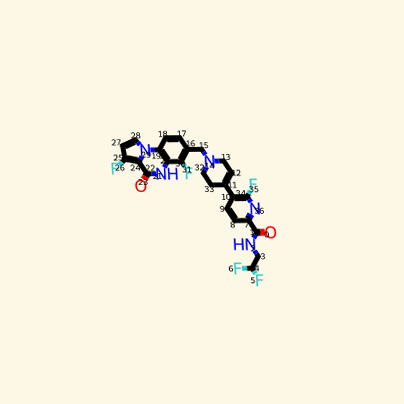 O=C(NCC(F)F)c1ccc(C2=CCN(Cc3ccc4c([nH]c(=O)c5c(F)ccn54)c3F)CC2)c(F)n1